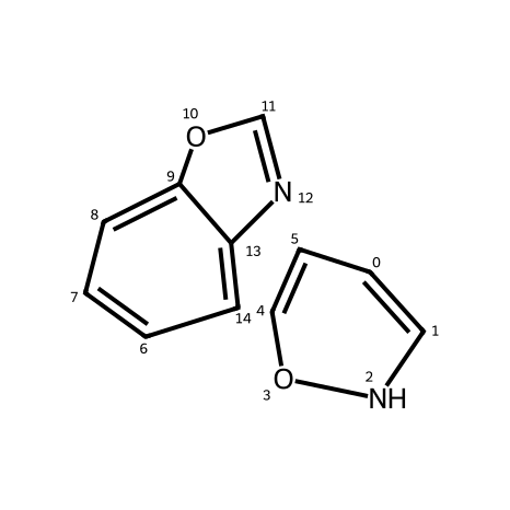 C1=CNOC=C1.c1ccc2ocnc2c1